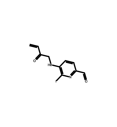 C=CC(=O)CBc1ccc(C=O)nc1I